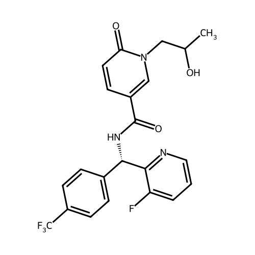 CC(O)Cn1cc(C(=O)N[C@@H](c2ccc(C(F)(F)F)cc2)c2ncccc2F)ccc1=O